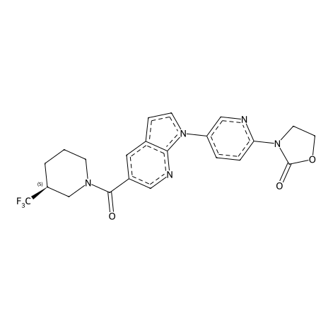 O=C(c1cnc2c(ccn2-c2ccc(N3CCOC3=O)nc2)c1)N1CCC[C@H](C(F)(F)F)C1